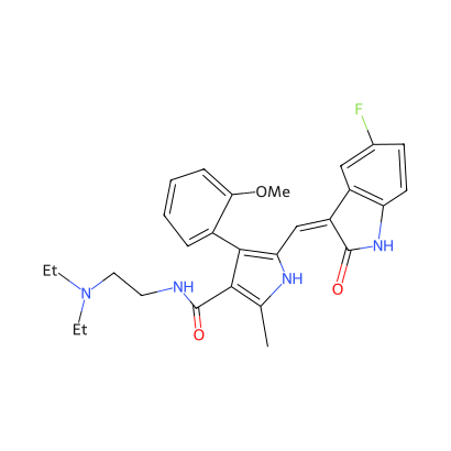 CCN(CC)CCNC(=O)c1c(C)[nH]c(C=C2C(=O)Nc3ccc(F)cc32)c1-c1ccccc1OC